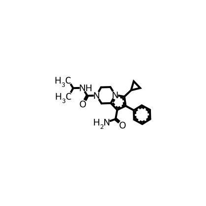 CC(C)NC(=O)N1CCn2c(c(C(N)=O)c(-c3ccccc3)c2C2CC2)C1